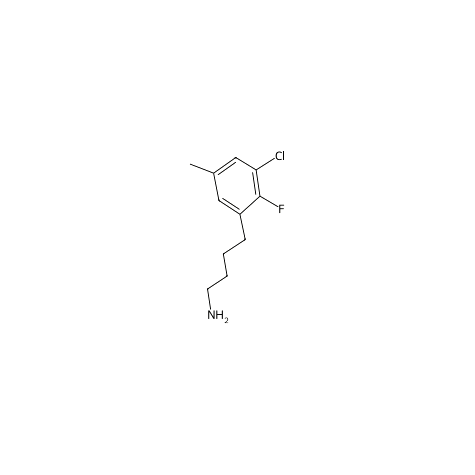 Cc1cc(Cl)c(F)c(CCCCN)c1